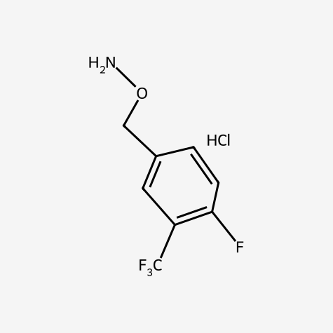 Cl.NOCc1ccc(F)c(C(F)(F)F)c1